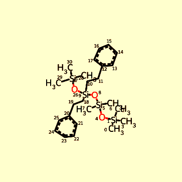 C[Si](C)(C)O[Si](C)(C)O[Si](CCc1ccccc1)(CCc1ccccc1)O[Si](C)(C)C